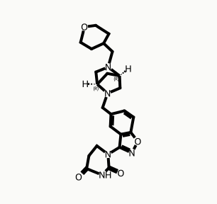 O=C1CCN(c2noc3ccc(CN4C[C@H]5C[C@@H]4CN5CC4CCOCC4)cc23)C(=O)N1